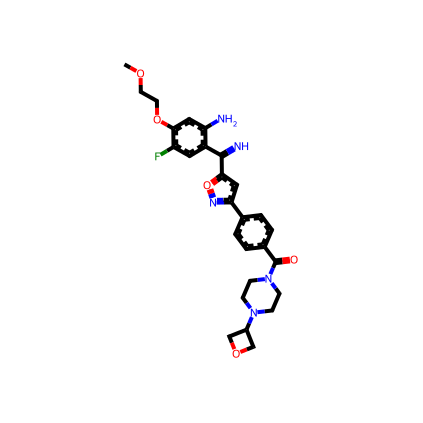 COCCOc1cc(N)c(C(=N)c2cc(-c3ccc(C(=O)N4CCN(C5COC5)CC4)cc3)no2)cc1F